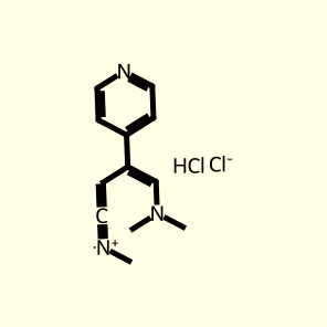 C[N+]=C=CC(=CN(C)C)c1ccncc1.Cl.[Cl-]